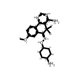 COc1ccc2c(c1)/C(=N\OC1CCC(N)CC1)C(C)(C)c1c(N)ncnc1-2